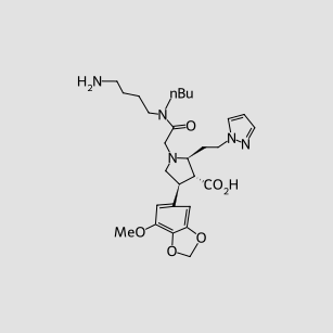 CCCCN(CCCCN)C(=O)CN1C[C@H](c2cc(OC)c3c(c2)OCO3)[C@@H](C(=O)O)[C@@H]1CCn1cccn1